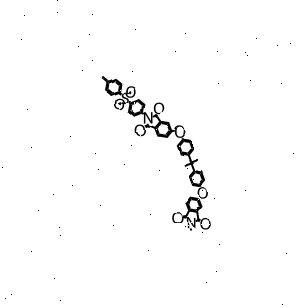 Cc1ccc(S(=O)(=O)c2ccc(N3C(=O)c4ccc(Oc5ccc(C(C)(C)c6ccc(Oc7ccc8c(c7)C(=O)N(C)C8=O)cc6)cc5)cc4C3=O)cc2)cc1